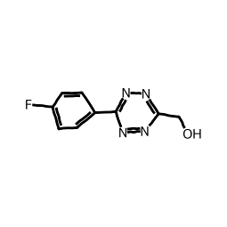 OCc1nnc(-c2ccc(F)cc2)nn1